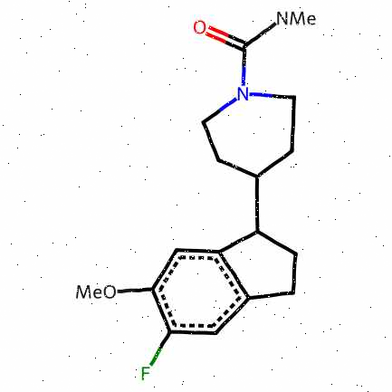 CNC(=O)N1CCC(C2CCc3cc(F)c(OC)cc32)CC1